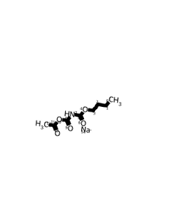 CCCCOC(=O)NC(=O)OC(C)=O.[Na]